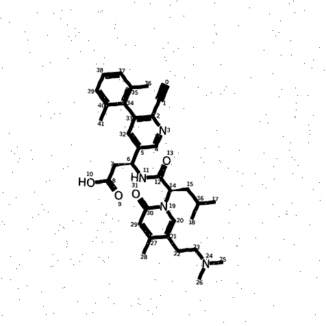 C#Cc1ncc([C@H](CC(=O)O)NC(=O)[C@@H](CC(C)C)n2cc(CCN(C)C)c(C)cc2=O)cc1-c1c(C)cccc1C